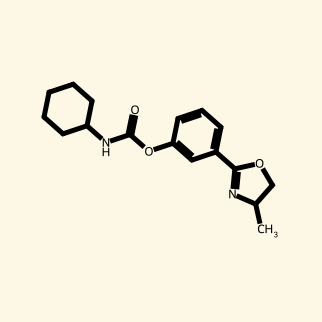 CC1COC(c2cccc(OC(=O)NC3CCCCC3)c2)=N1